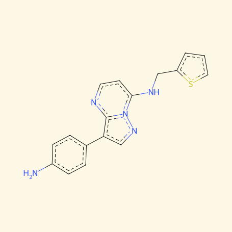 Nc1ccc(-c2cnn3c(NCc4cccs4)ccnc23)cc1